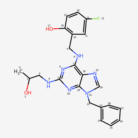 CC(O)CNc1nc(NCc2cc(F)ccc2O)c2ncn(Cc3ccccc3)c2n1